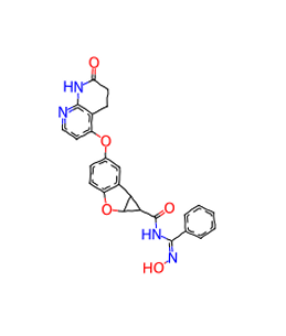 O=C1CCc2c(Oc3ccc4c(c3)C3C(O4)C3C(=O)N/C(=N\O)c3ccccc3)ccnc2N1